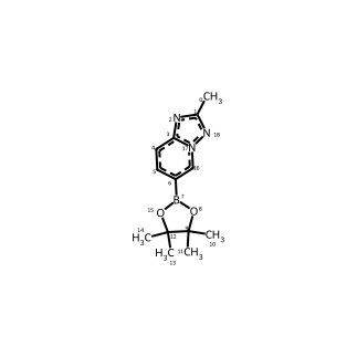 Cc1nc2ccc(B3OC(C)(C)C(C)(C)O3)cn2n1